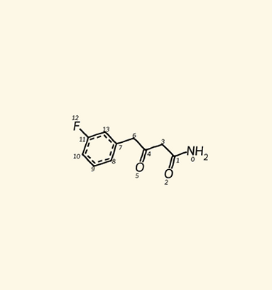 NC(=O)CC(=O)Cc1cccc(F)c1